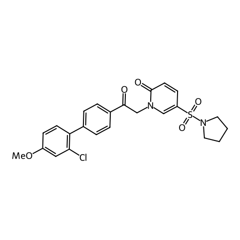 COc1ccc(-c2ccc(C(=O)Cn3cc(S(=O)(=O)N4CCCC4)ccc3=O)cc2)c(Cl)c1